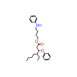 CCCCC(CC)C(CC(=O)OCCCCNc1ccccc1)Oc1ccccc1